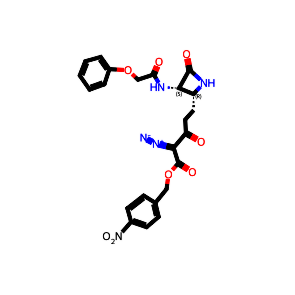 [N-]=[N+]=C(C(=O)CC[C@H]1NC(=O)[C@H]1NC(=O)COc1ccccc1)C(=O)OCc1ccc([N+](=O)[O-])cc1